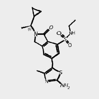 CCNS(=O)(=O)c1cc(-c2sc(N)nc2C)cc2c1C(=O)N([C@@H](C)C1CC1)C2